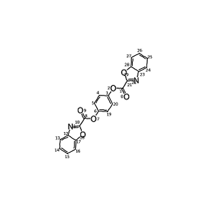 O=C(Oc1ccc(OC(=O)c2nc3ccccc3o2)cc1)c1nc2ccccc2o1